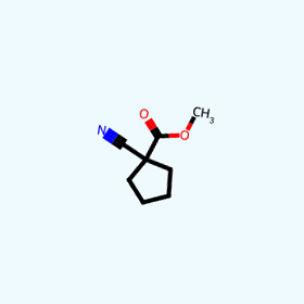 COC(=O)C1(C#N)CCCC1